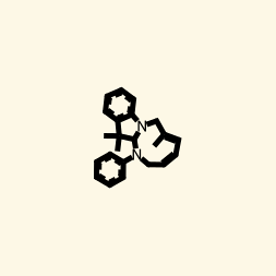 C/C1=C\C=C/CN(c2ccccc2)C2N(C1)c1ccccc1C2(C)C